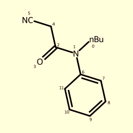 CCCCN(C(=O)CC#N)c1ccccc1